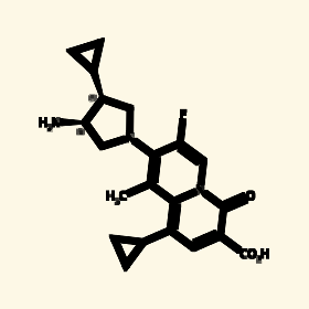 Cc1c(N2C[C@@H](N)[C@@H](C3CC3)C2)c(F)cn2c(=O)c(C(=O)O)cc(C3CC3)c12